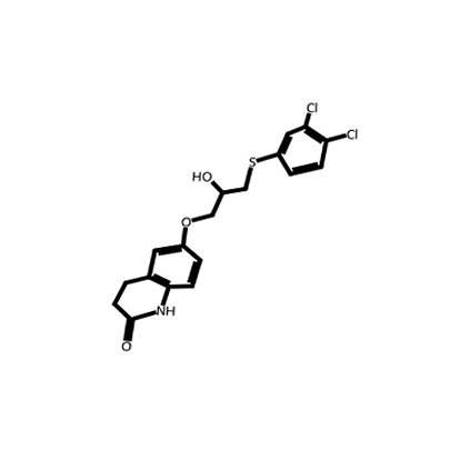 O=C1CCc2cc(OCC(O)CSc3ccc(Cl)c(Cl)c3)ccc2N1